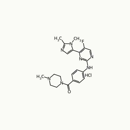 Cc1ncc(-c2nc(Nc3ccc(C(=O)N4CCN(C)CC4)cc3)ncc2F)n1C.Cl